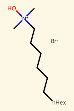 CCCCCCCCCCCC[N+](C)(C)O.[Br-]